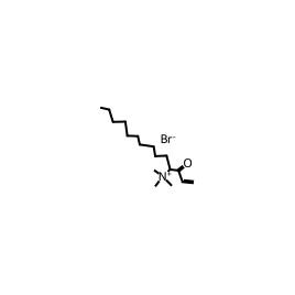 C=CC(=O)C(CCCCCCCCCC)[N+](C)(C)C.[Br-]